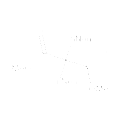 CCCCCCCCCC(CCCCCCCCC)(C(=O)OC)C(=O)OC